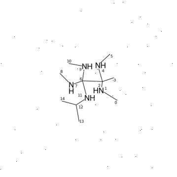 CNC(C)(NC)C(NC)(NC)NC(C)C